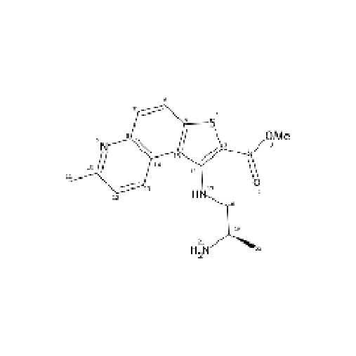 COC(=O)c1sc2ccc3nc(C)ccc3c2c1NC[C@@H](C)N